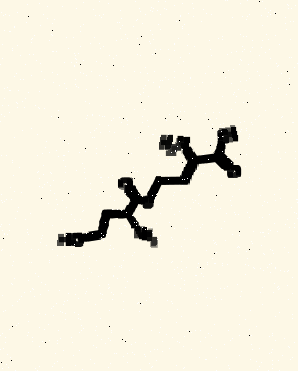 NC(CCOC(=O)[C@@H](N)CCO)C(=O)O